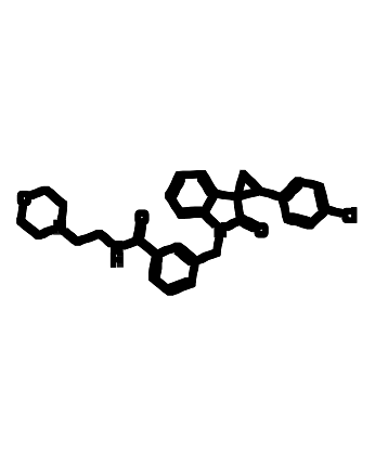 O=C(NCCN1CCOCC1)c1cccc(CN2C(=O)C3(CC3c3ccc(Cl)cc3)c3ccccc32)c1